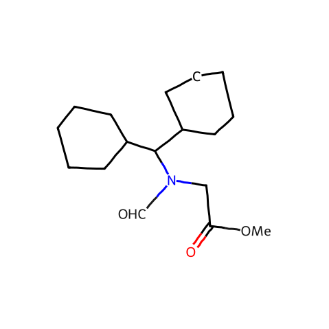 COC(=O)CN(C=O)C(C1CCCCC1)C1CCCCC1